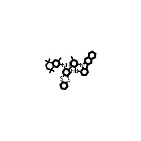 Cc1cc(-c2cc3c(cc2Nc2cc4c(cc2C)C(C)(C)CCC4(C)C)Sc2ccccc2S3)c2c(c1)-n1c3cc4ccccc4cc3c3cccc(c31)B2